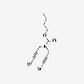 CCCCOC(=O)N(CC#CBr)CC#CBr